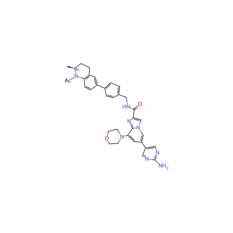 CC(=O)N1c2ccc(-c3ccc(CNC(=O)c4cn5cc(-c6cnc(N)nc6)cc(N6CCOCC6)c5n4)cc3)cc2CC[C@@H]1C